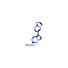 CC(C)Nc1ncc2c(-c3cnc4nccn4c3)ccn2n1